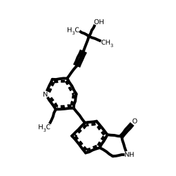 Cc1ncc(C#CC(C)(C)O)cc1-c1ccc2c(c1)C(=O)NC2